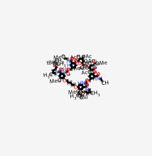 C#CCNC(=O)c1cc(COC(=O)Nc2cc(OCCCCCOc3cc(NC(=O)OCc4ccc(O[C@@H]5O[C@H](C(=O)OC)C(OC(C)=O)C(OC(C)=O)C5OC(C)=O)c(C(O)NCCOC)c4)c(C(O)N4C=C(C)CC4CO[Si](C)(C)C(C)(C)C)cc3OC)c(OC)cc2C(=O)N2C=C(C)C[C@H]2CO[Si](C)(C)C(C)(C)C)ccc1O[C@@H]1O[C@H](C(=O)OC)[C@@H](OC(C)=O)C(OC(C)=O)[C@H]1OC(C)=O